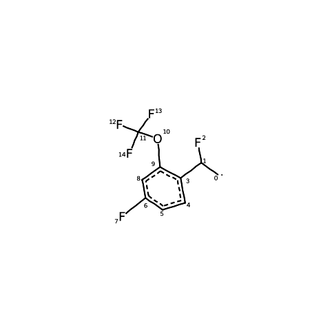 [CH2]C(F)c1ccc(F)cc1OC(F)(F)F